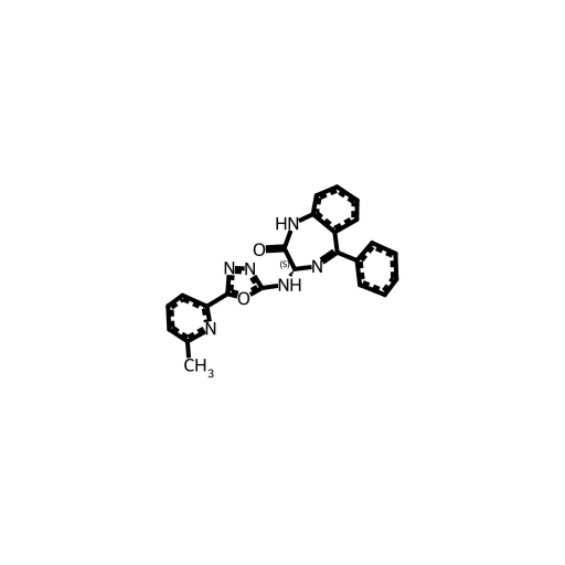 Cc1cccc(-c2nnc(N[C@H]3N=C(c4ccccc4)c4ccccc4NC3=O)o2)n1